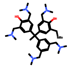 CNCc1cc(C(C)(c2cc(CN(C)C)cc(CN(C)C)c2)c2cc(CN(C)C)c(O)c(CN(C)C)c2)cc(CN(C)C)c1O